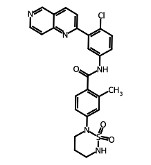 Cc1cc(N2CCCNS2(=O)=O)ccc1C(=O)Nc1ccc(Cl)c(-c2ccc3cnccc3n2)c1